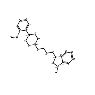 COc1ccccc1N1CCN(CCCCC2CN(C)c3ccccc32)CC1